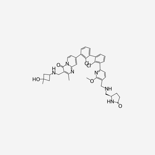 COc1nc(-c2cccc(-c3cccc(-c4ccn5c(=O)c(CNC6CC(C)(O)C6)c(C)nc5c4)c3Cl)c2Cl)ccc1CNC[C@H]1CCC(=O)N1